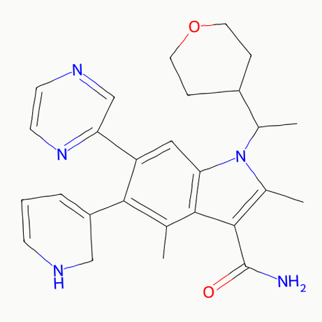 Cc1c(C2=CC=CNC2)c(-c2cnccn2)cc2c1c(C(N)=O)c(C)n2C(C)C1CCOCC1